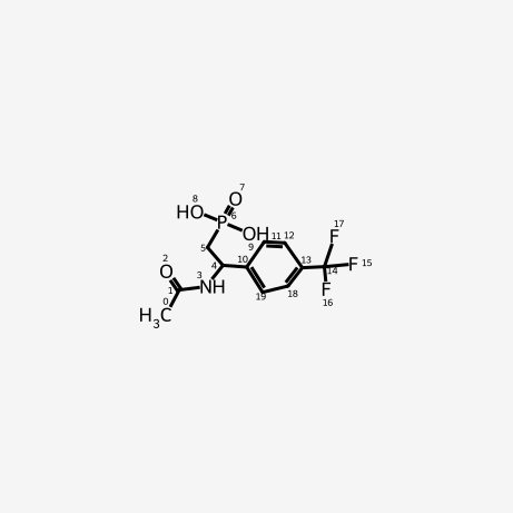 CC(=O)NC(CP(=O)(O)O)c1ccc(C(F)(F)F)cc1